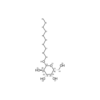 CCCCCCCCCCOC1O[C@H](CO)[C@H](O)[C@H](O)[C@H]1O